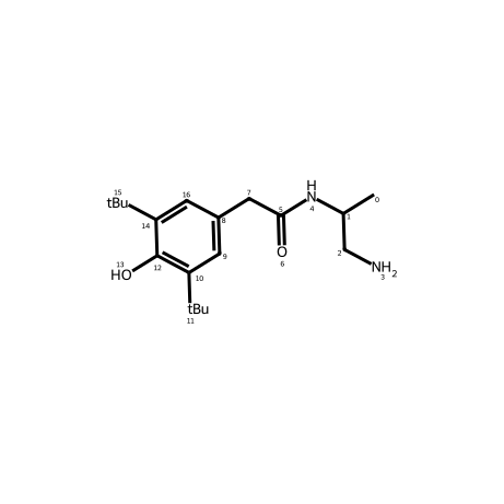 CC(CN)NC(=O)Cc1cc(C(C)(C)C)c(O)c(C(C)(C)C)c1